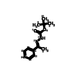 CC(=NNC(=O)OC(C)(C)C)c1ccncc1